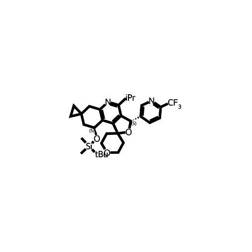 CC(C)c1nc2c(c3c1[C@H](c1ccc(C(F)(F)F)nc1)OC31CCOCC1)[C@@H](O[Si](C)(C)C(C)(C)C)CC1(CC1)C2